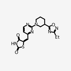 CCc1noc(C2CCCN(c3nccc(C=C4SC(=O)NC4=O)n3)C2)n1